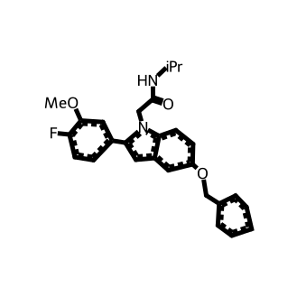 COc1cc(-c2cc3cc(OCc4ccccc4)ccc3n2CC(=O)NC(C)C)ccc1F